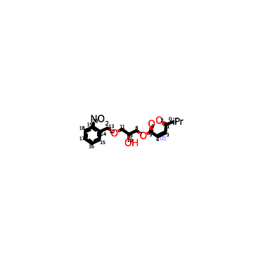 CC(C)C(=O)/C=C\C(=O)OCC(O)COCc1ccccc1[N+](=O)[O-]